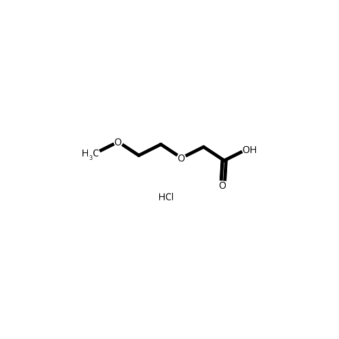 COCCOCC(=O)O.Cl